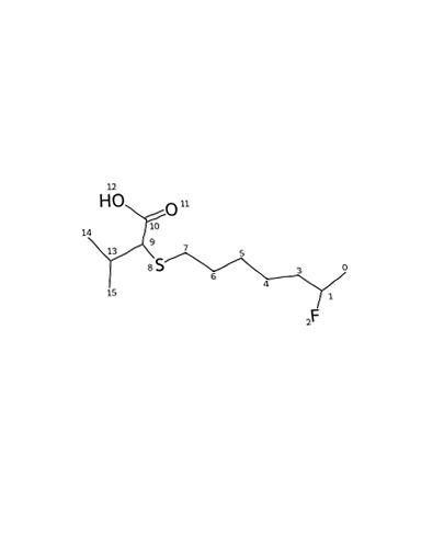 CC(F)CCCCCSC(C(=O)O)C(C)C